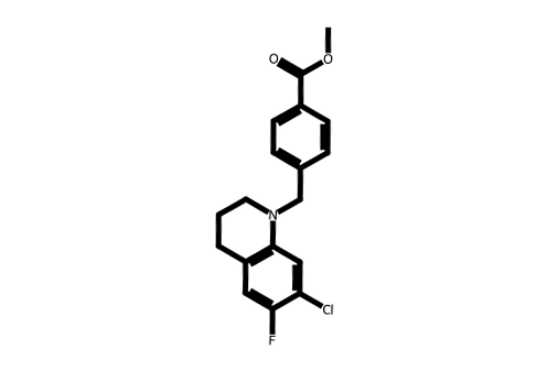 COC(=O)c1ccc(CN2CCCc3cc(F)c(Cl)cc32)cc1